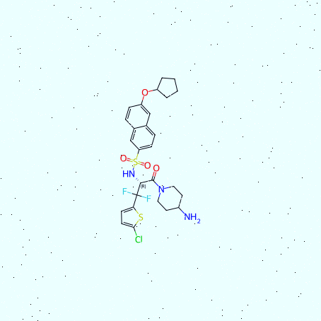 NC1CCN(C(=O)[C@@H](NS(=O)(=O)c2ccc3cc(OC4CCCC4)ccc3c2)C(F)(F)c2ccc(Cl)s2)CC1